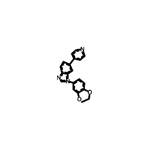 c1cc(-c2ccc3ncn(-c4ccc5c(c4)OCCO5)c3c2)ccn1